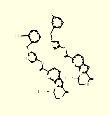 C[C@@H]1CNC(=O)c2cc3ccc(C(=O)Nc4cnn(Cc5cccc(N)c5)c4)nc3n21.C[C@@H]1CNC(=O)c2cc3ccc(C(=O)Nc4cnn(Cc5ccccc5N)c4)nc3n21